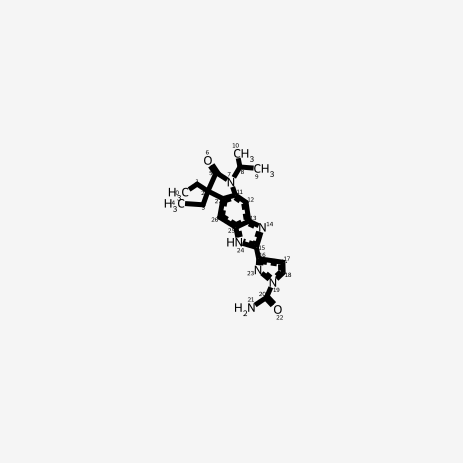 CCC1(CC)C(=O)N(C(C)C)c2cc3nc(-c4[c]cn(C(N)=O)n4)[nH]c3cc21